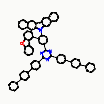 c1ccc(-c2ccc(-c3ccc(-c4nc(-c5ccc(-c6ccc(-c7ccccc7)cc6)cc5)nc(-c5ccc(-n6c7cc8ccccc8cc7c7cc8ccccc8cc76)c(-c6cccc7oc8ccccc8c67)c5)n4)cc3)cc2)cc1